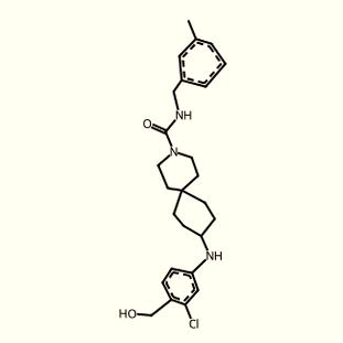 Cc1cccc(CNC(=O)N2CCC3(CCC(Nc4ccc(CO)c(Cl)c4)CC3)CC2)c1